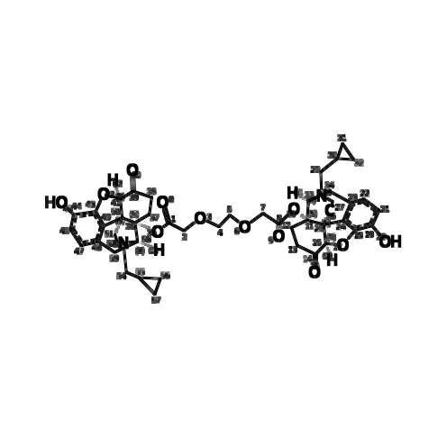 O=C(COCCOCC(=O)O[C@@]12CCC(=O)[C@@H]3Oc4c(O)ccc5c4[C@@]31CCN(CC1CC1)[C@@H]2C5)O[C@@]12CCC(=O)[C@@H]3Oc4c(O)ccc5c4[C@@]31CCN(CC1CC1)[C@@H]2C5